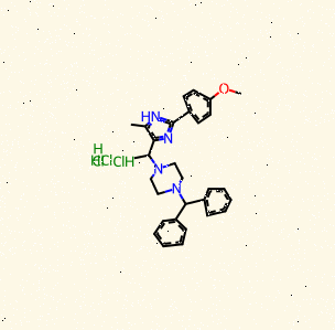 COc1ccc(-c2nc(C(C)N3CCN(C(c4ccccc4)c4ccccc4)CC3)c(C)[nH]2)cc1.Cl.Cl.Cl